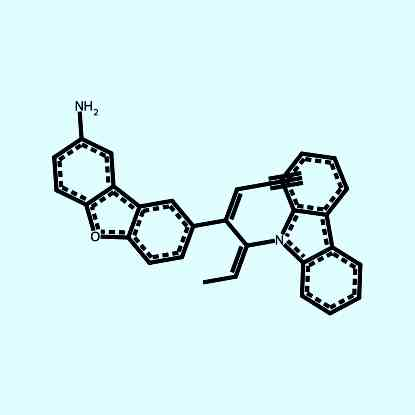 C#C/C=C(\C(=C/C)n1c2ccccc2c2ccccc21)c1ccc2oc3ccc(N)cc3c2c1